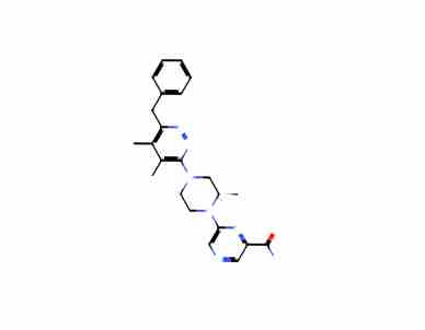 Cc1c(Cc2ccccc2)nnc(N2CCN(c3cncc(C(N)=O)n3)[C@H](C)C2)c1C